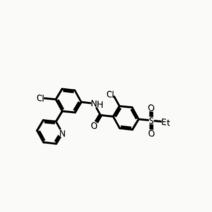 CCS(=O)(=O)c1ccc(C(=O)Nc2ccc(Cl)c(-c3ccccn3)c2)c(Cl)c1